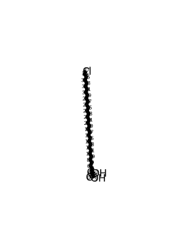 O=P(O)(O)OCCCCCCCCCCCCCCCCCCCCCCCCCCCCCCCCCl